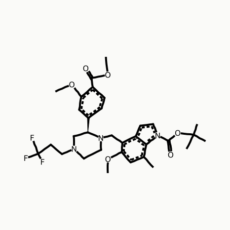 COC(=O)c1ccc([C@@H]2CN(CCC(F)(F)F)CCN2Cc2c(OC)cc(C)c3c2ccn3C(=O)OC(C)(C)C)cc1OC